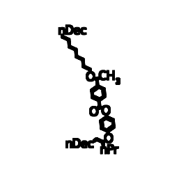 CCCCCCCCCCCCCCCCCCOC(C)c1ccc(C(=O)Oc2ccc(OC(CCC)CCCCCCCCCCC)cc2)cc1